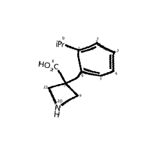 CC(C)c1ccccc1C1(C(=O)O)CNC1